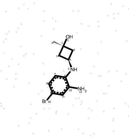 C[C@]1(O)C[C@@H](Nc2ccc(Br)cc2N)C1